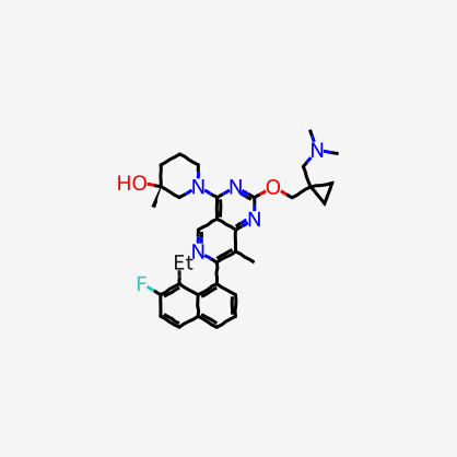 CCc1c(F)ccc2cccc(-c3ncc4c(N5CCC[C@@](C)(O)C5)nc(OCC5(CN(C)C)CC5)nc4c3C)c12